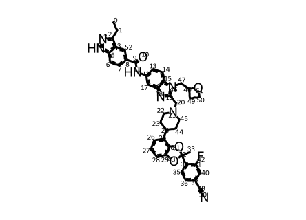 CCc1n[nH]c2ccc(C(=O)Nc3ccc4c(c3)nc(CN3CCC(c5cccc6c5OC(C)(c5ccc(C#N)cc5F)O6)CC3)n4CC3CCO3)cc12